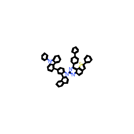 c1ccc(-c2ccc(-c3nc(-n4c5ccc(-c6cccc7c6c6ccccc6n7-c6ccccc6)cc5c5c6ccccc6ccc54)nc4ccc5cc(-c6ccccc6)sc5c34)cc2)cc1